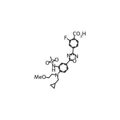 COCCN(CC1CC1)c1ccc(-c2nc(-c3ccc(C(=O)O)c(F)c3)no2)cc1NS(C)(=O)=O